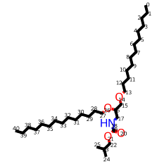 CCCCCCCCCCCCCCOCC(CNC(=O)OCC(C)C)OCCCCCCCCCCCCCC